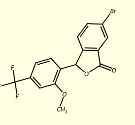 COc1cc(C(F)(F)F)ccc1C1OC(=O)c2cc(Br)ccc21